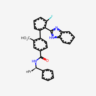 CCC[C@@H](NC(=O)c1ccc(-c2cccc(F)c2-c2nc3ccccc3[nH]2)c(C(=O)O)c1)c1ccccc1